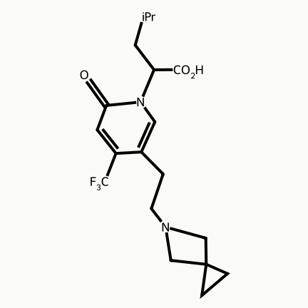 CC(C)CC(C(=O)O)n1cc(CCN2CC3(CC3)C2)c(C(F)(F)F)cc1=O